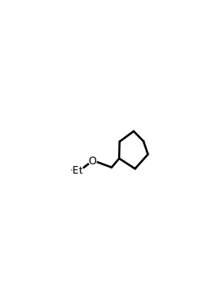 C[CH]OCC1CCCCC1